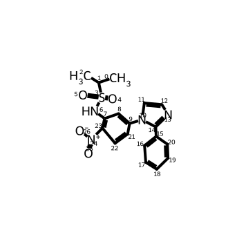 CC(C)S(=O)(=O)Nc1cc(-n2ccnc2-c2ccccc2)ccc1[N+](=O)[O-]